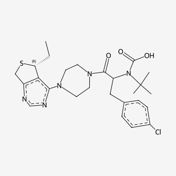 CC[C@H]1SCc2ncnc(N3CCN(C(=O)C(Cc4ccc(Cl)cc4)N(C(=O)O)C(C)(C)C)CC3)c21